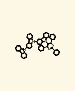 c1ccc(-c2nc(-c3ccccc3)c(-n3c4ccccc4c4cc(-n5c6ccccc6c6cc(-n7c8ccccc8c8ccccc87)ccc65)ccc43)c(-c3ccccc3)n2)cc1